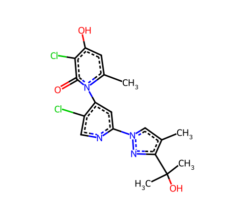 Cc1cn(-c2cc(-n3c(C)cc(O)c(Cl)c3=O)c(Cl)cn2)nc1C(C)(C)O